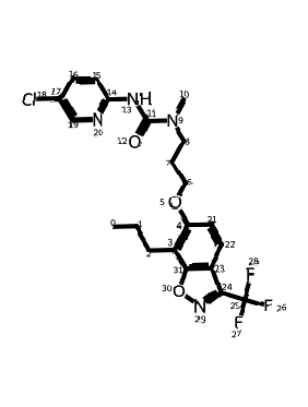 CCCc1c(OCCCN(C)C(=O)Nc2ccc(Cl)cn2)ccc2c(C(F)(F)F)noc12